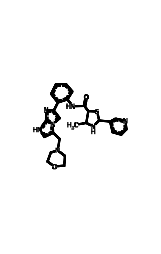 CC1NC(c2cccnc2)SC1C(=O)Nc1ccccc1-c1cn2c(CN3CCOCC3)c[nH]c2n1